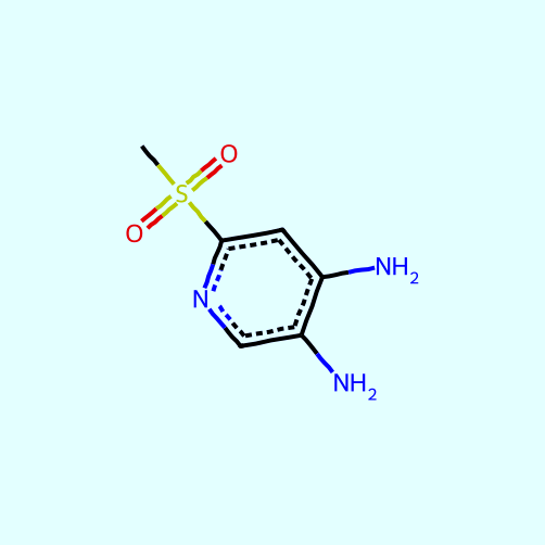 CS(=O)(=O)c1cc(N)c(N)cn1